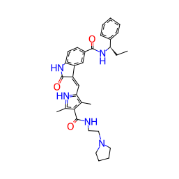 CC[C@@H](NC(=O)c1ccc2c(c1)/C(=C/c1[nH]c(C)c(C(=O)NCCN3CCCC3)c1C)C(=O)N2)c1ccccc1